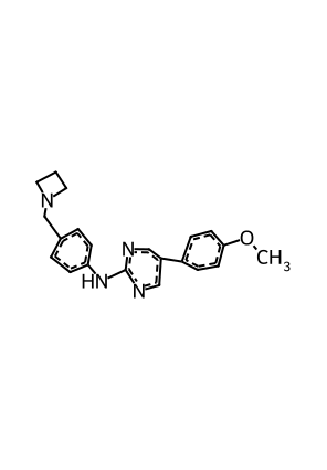 COc1ccc(-c2cnc(Nc3ccc(CN4CCC4)cc3)nc2)cc1